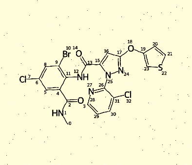 CNC(=O)c1cc(Cl)cc(Br)c1NC(=O)c1cc(Oc2ccsc2)nn1-c1ncccc1Cl